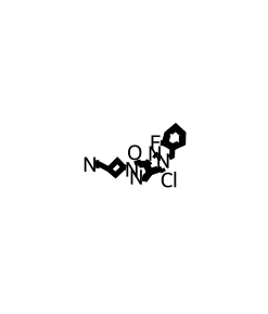 N#CC1CC(n2ncc3c(Cl)n(Cc4ccccc4F)nc3c2=O)C1